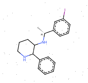 C[C@@H](NC1CCCNC1c1ccccc1)c1cccc(I)c1